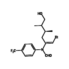 CC/C=C(\C[C@H](C)C(C)CO)N(C=O)c1ccc(C(F)(F)F)cc1